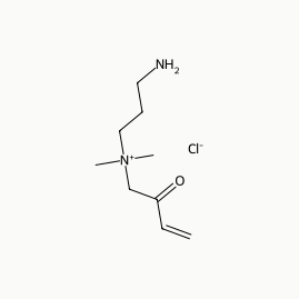 C=CC(=O)C[N+](C)(C)CCCN.[Cl-]